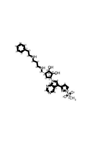 CS(=O)(=O)n1ccc(-c2cn([C@@H]3C[C@H](CNCCCNCCc4ccccc4)[C@@H](O)[C@H]3O)c3ncncc23)n1